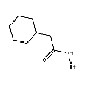 CCNC(=O)CC1CCCCC1